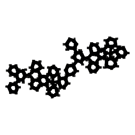 c1ccc(-c2nc(-c3ccc(-c4cccc5c4-c4ccccc4C54c5ccccc5-c5c4cc4c6c(cccc56)N(c5nc(-c6ccccc6)c6ccccc6n5)c5ccccc5-4)cc3)nc(N3c4ccccc4-c4cc5c(c6cccc3c46)-c3ccccc3C53c4ccccc4-c4ccccc43)n2)cc1